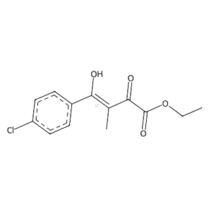 CCOC(=O)C(=O)/C(C)=C(\O)c1ccc(Cl)cc1